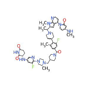 CNc1ccn(-c2ccnc3c2cc([C@H](C)N2CC=C(c4c(C)cc(C(=O)N5CCC(CN6CCN(c7ncc(N[C@H]8CCC(=O)NC8=O)cc7F)C[C@H]6C)CC5)cc4F)CC2)n3C)c(=O)c1